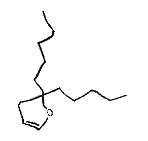 CCCCCC1(CCCCC)CC=CO1